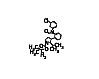 CC(C)C1C(c2ccccc2N(C=O)c2cccc(Cl)c2)CCN1C(=O)OC(C)(C)C